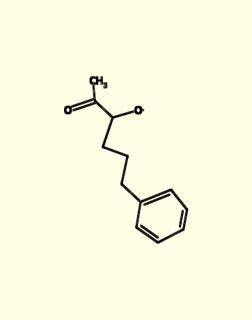 CC(=O)C([O])CCCc1ccccc1